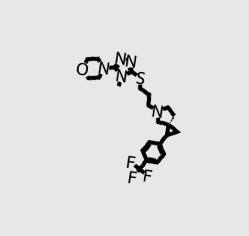 Cn1c(SCCCN2CC[C@@]3(CC3c3ccc(C(F)(F)F)cc3)C2)nnc1N1CCOCC1